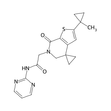 CC1(c2cc3c(s2)C(=O)N(CC(=O)Nc2ncccn2)CC32CC2)CC1